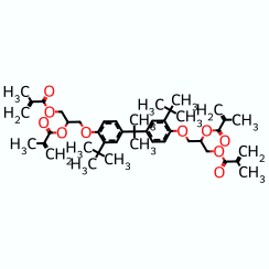 C=C(C)C(=O)OCC(COc1ccc(C(C)(C)c2ccc(OCC(COC(=O)C(=C)C)OC(=O)C(=C)C)c(C(C)(C)C)c2)cc1C(C)(C)C)OC(=O)C(=C)C